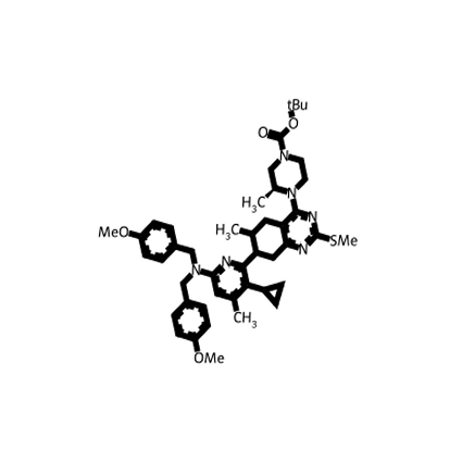 COc1ccc(CN(Cc2ccc(OC)cc2)c2cc(C)c(C3CC3)c(C3Cc4nc(SC)nc(N5CCN(C(=O)OC(C)(C)C)C[C@@H]5C)c4CC3C)n2)cc1